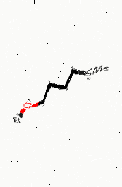 CCOCCCCSC